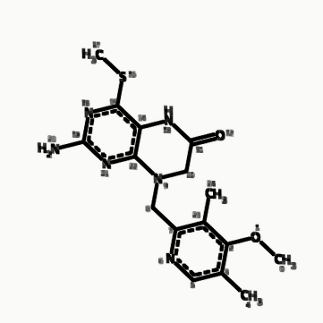 COc1c(C)cnc(CN2CC(=O)Nc3c(SC)nc(N)nc32)c1C